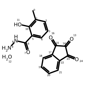 Cc1cccc(C(=O)NN)c1O.O.O=c1c(=O)c2ccccc2c1=O